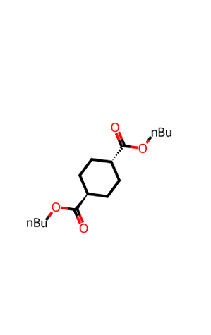 CCCCOC(=O)[C@H]1CC[C@H](C(=O)OCCCC)CC1